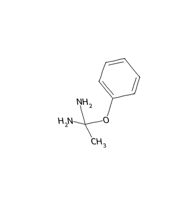 CC(N)(N)Oc1ccccc1